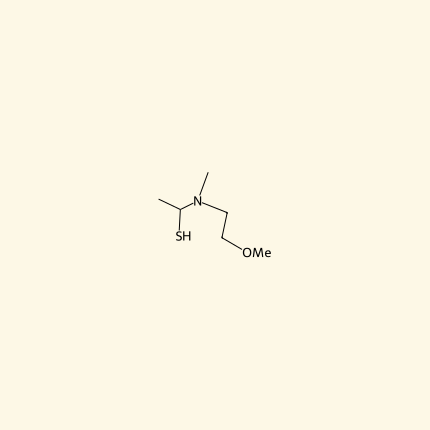 COCCN(C)C(C)S